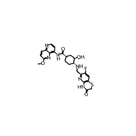 COc1ccc2nccc(NC(=O)[C@@H]3CC[C@@H](NCc4nc5c(cc4F)SCC(=O)N5)[C@H](O)C3)c2n1